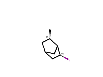 C[C@@H]1CC2CC1[C@@H](I)C2